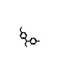 CCc1ccc(C(CC)c2ccc(C)cc2)cc1